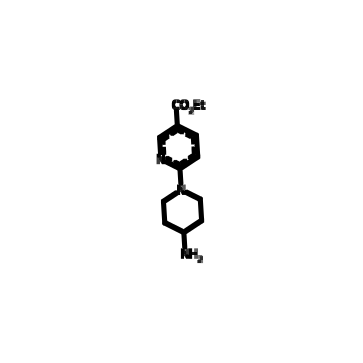 CCOC(=O)c1ccc(N2CCC(N)CC2)nc1